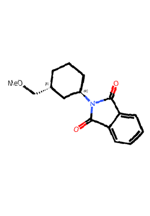 COC[C@@H]1CCC[C@@H](N2C(=O)c3ccccc3C2=O)C1